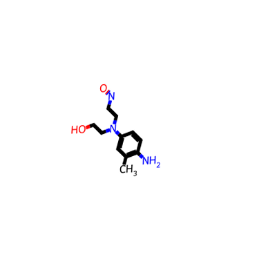 Cc1cc(N(CCO)CCN=O)ccc1N